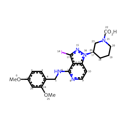 COc1ccc(CNc2nccc3c2c(I)nn3[C@@H]2CCCN(C(=O)O)C2)c(OC)c1